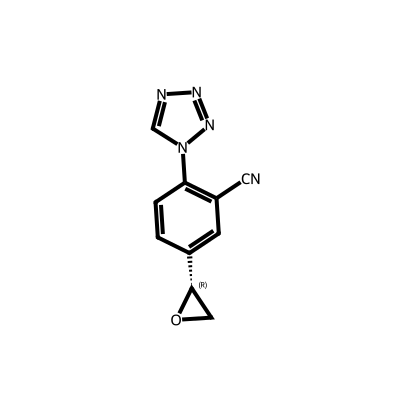 N#Cc1cc([C@@H]2CO2)ccc1-n1cnnn1